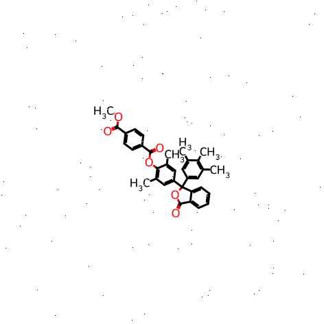 COC(=O)c1ccc(C(=O)Oc2c(C)cc(C3(c4cc(C)c(C)c(C)c4)OC(=O)c4ccccc43)cc2C)cc1